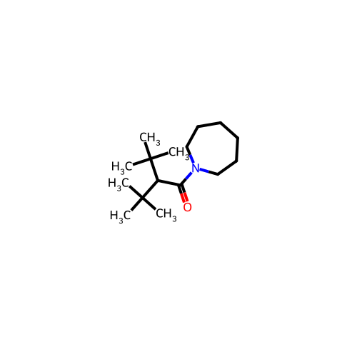 CC(C)(C)C(C(=O)N1CCCCCC1)C(C)(C)C